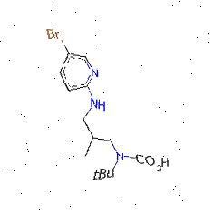 CC(CNc1ccc(Br)cn1)CN(C(=O)O)C(C)(C)C